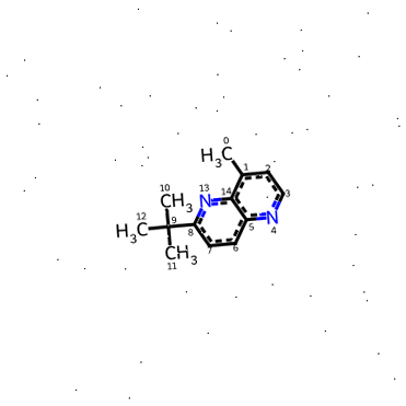 Cc1ccnc2ccc(C(C)(C)C)nc12